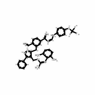 Cc1cccc(C)c1/N=C(/N)SCc1c(-c2ccccc2)noc1Cc1cc(C(=N)/N=C\Nc2ccc(OC(F)(F)F)cc2)ccc1C=N